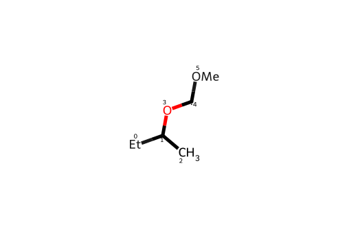 CCC(C)O[CH]OC